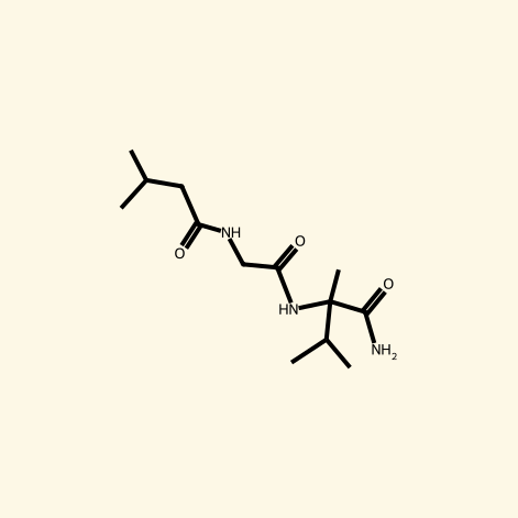 CC(C)CC(=O)NCC(=O)NC(C)(C(N)=O)C(C)C